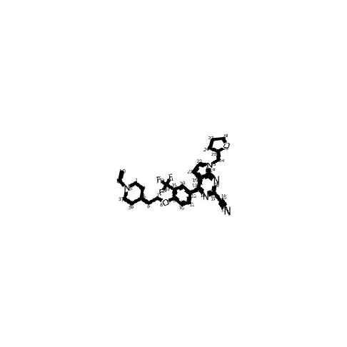 CCN1CCC(CCOc2ccc(-c3nc(C#N)nc4c3ccn4CC3CCCO3)cc2C(F)(F)F)CC1